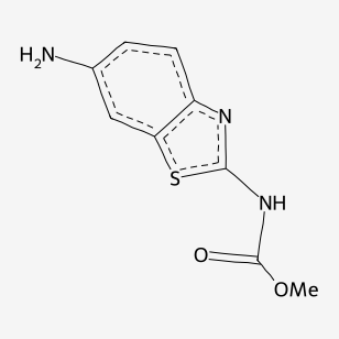 COC(=O)Nc1nc2ccc(N)cc2s1